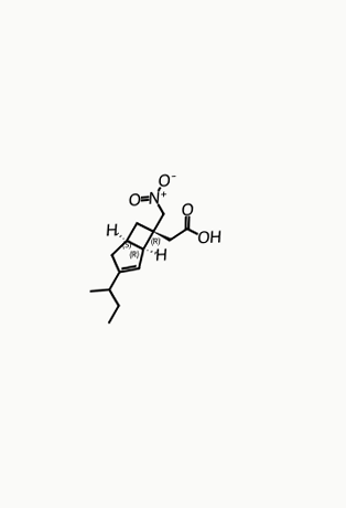 CCC(C)C1=C[C@H]2[C@@H](C1)C[C@]2(CC(=O)O)C[N+](=O)[O-]